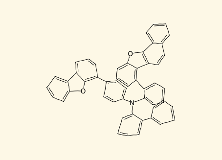 c1ccc(-c2ccccc2N(c2ccc(-c3cccc4c3oc3ccccc34)cc2)c2ccccc2-c2cccc3oc4c5ccccc5ccc4c23)cc1